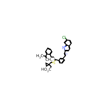 C=C(C)c1ccccc1CC[C@@H](SCC1(CC(=O)O)CC1)c1cccc(/C=C/c2ccc3ccc(Cl)cc3n2)c1